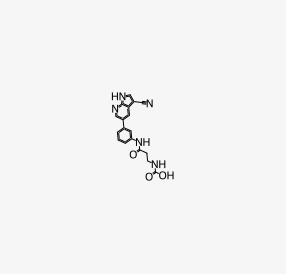 N#Cc1c[nH]c2ncc(-c3cccc(NC(=O)CCNC(=O)O)c3)cc12